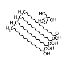 CCCCCCCCCCCCCCCC(=O)O.CCCCCCCCCCCCCCCC(=O)O.CCCCCCCCCCCCCCCC(=O)O.CCCCCCCCCCCCCCCC(=O)O.OCC(CO)(CO)CO